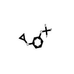 FC(F)(F)Oc1cccc(OC2CC2)c1